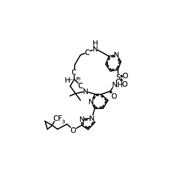 CC1(C)C[C@H]2CCCCNc3ccc(cn3)S(=O)(=O)NC(=O)c3ccc(-n4ccc(OCCC5(C(F)(F)F)CC5)n4)nc3N1C2